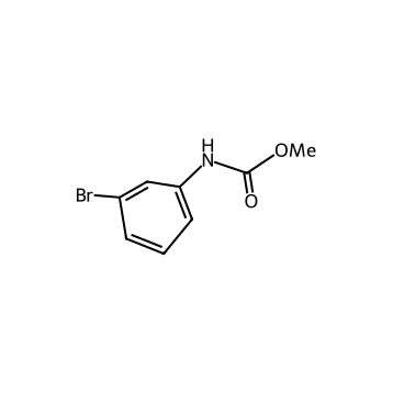 [CH2]OC(=O)Nc1cccc(Br)c1